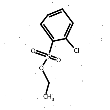 CCOS(=O)(=O)c1ccccc1Cl